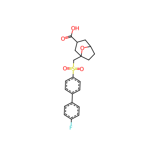 O=C(O)C1CC2CCC(CS(=O)(=O)c3ccc(-c4ccc(F)cc4)cc3)(C1)O2